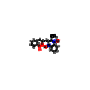 Cc1c(CC(=O)Cc2ccccc2O)[n+]([O-])c2ccccc2[n+]1[O-]